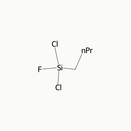 CCCC[Si](F)(Cl)Cl